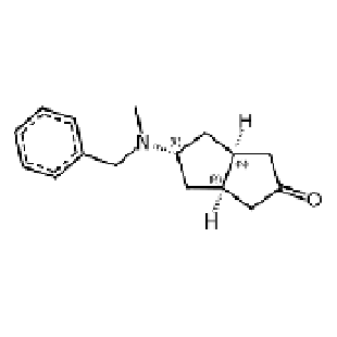 CN(Cc1ccccc1)[C@@H]1C[C@H]2CC(=O)C[C@H]2C1